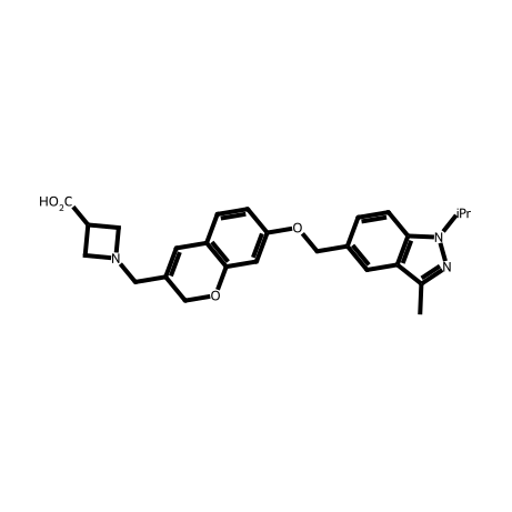 Cc1nn(C(C)C)c2ccc(COc3ccc4c(c3)OCC(CN3CC(C(=O)O)C3)=C4)cc12